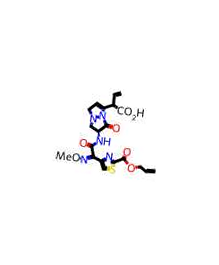 C=CCOC(=O)c1nc(/C(=N/OC)C(=O)N[C@H]2CN3CC=C(C(C=C)C(=O)O)N3C2=O)cs1